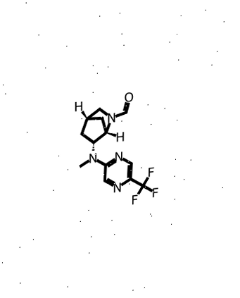 CN(c1cnc(C(F)(F)F)cn1)[C@@H]1C[C@H]2C[C@@H]1N(C=O)C2